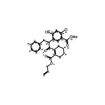 C=CCOC(=O)C1=C(C(=O)N(Cc2cccnc2)c2cc(C(=O)OC)c(Cl)cc2Cl)CCCC1